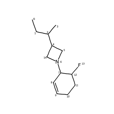 CCC(C)C1CN(C2C=CCCC2F)C1